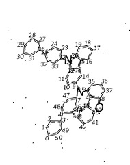 c1ccc(-c2ccc(N(c3ccc4c(c3)c3ccccc3n4-c3ccc(-c4ccccc4)cc3)c3cccc4oc5ccccc5c34)cc2)cc1